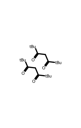 CC(C)(C)C(=O)CC(=O)C(C)(C)C.CC(C)(C)C(=O)CC(=O)C(C)(C)C